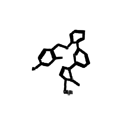 CCOC(=O)C1C=CN(c2cccc(-c3ccccc3OCc3ccc(Br)cc3C)n2)N1C